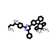 C/C=C\C=C(/C)c1ccc(-c2nc(-c3ccccc3)cc(-c3ccc4c(c3)C3(c5ccccc5-4)c4ccccc4C(C)(C)c4ccccc43)n2)cc1